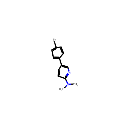 CCc1ccc(-c2ccc(N(C)C)nc2)cc1